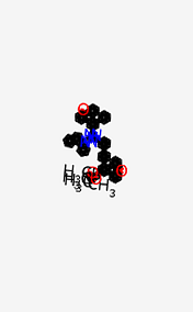 CC1(C)OB(c2cc(-c3ccc(-c4cccc(-c5nc(-c6cc(-c7ccccc7)c7c(c6)c6cccc8oc9cccc7c9c86)nc(-n6c7ccccc7c7c8ccccc8ccc76)n5)c4)cc3)c3c(c2)c2cccc4oc5cccc3c5c42)OC1(C)C